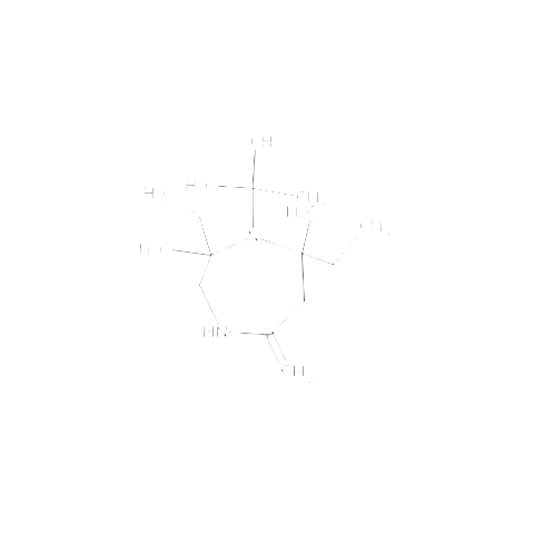 C=C1CC(C)(CC)N(C(C)(C)C)C(C)(CC)CN1